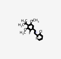 COc1cc(/C=C/c2ncccc2Cl)c(F)c(OC)c1C(C)C